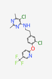 Cc1nc(C)c(Cl)c(NCCc2ccc(Oc3ccc(C(F)(F)F)cn3)c(Cl)c2)n1